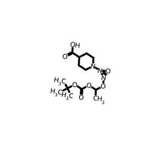 CC(OC(=O)OC(C)(C)C)On1on1N1CCC(C(=O)O)CC1